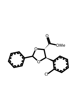 COC(=O)[C@H]1OC(c2ccccc2)O[C@@H]1c1ccccc1Cl